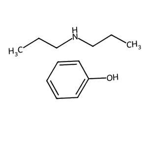 CCCNCCC.Oc1ccccc1